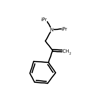 C=C(CN(C(C)C)C(C)C)c1ccccc1